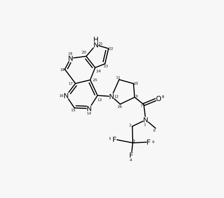 CN(CC(F)(F)F)C(=O)C1CCN(c2ncnc3cnc4[nH]ccc4c23)C1